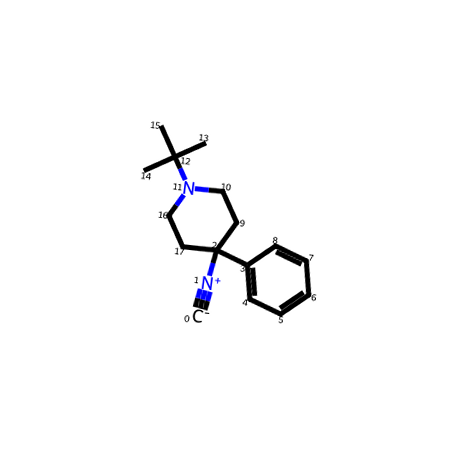 [C-]#[N+]C1(c2ccccc2)CCN(C(C)(C)C)CC1